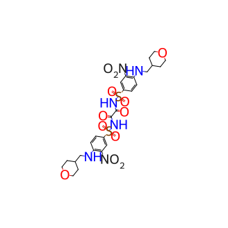 O=C(NS(=O)(=O)c1ccc(NCC2CCOCC2)c([N+](=O)[O-])c1)C(=O)NS(=O)(=O)c1ccc(NCC2CCOCC2)c([N+](=O)[O-])c1